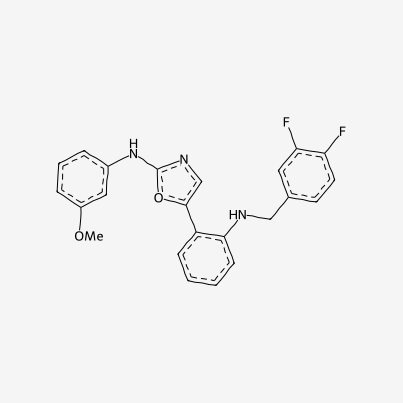 COc1cccc(Nc2ncc(-c3ccccc3NCc3ccc(F)c(F)c3)o2)c1